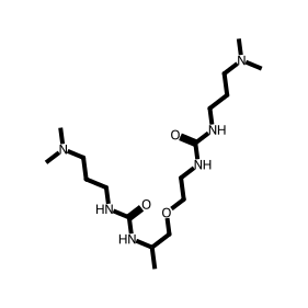 CC(COCCNC(=O)NCCCN(C)C)NC(=O)NCCCN(C)C